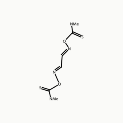 CNC(=S)ON=CC=NOC(=S)NC